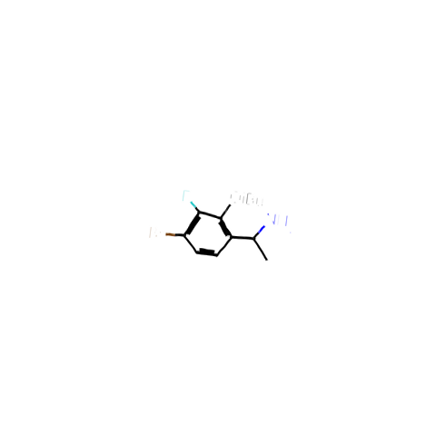 CC(C)COc1c(C(C)N)ccc(Br)c1F